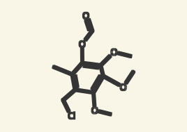 COc1c(CCl)c(C)c(OC=O)c(OC)c1OC